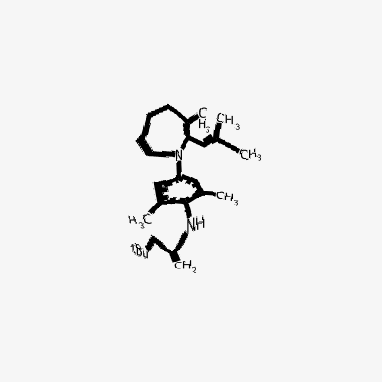 C=C(CC(C)(C)C)Nc1c(C)cc(N2CCCCC(C)=C2C=C(C)C)cc1C